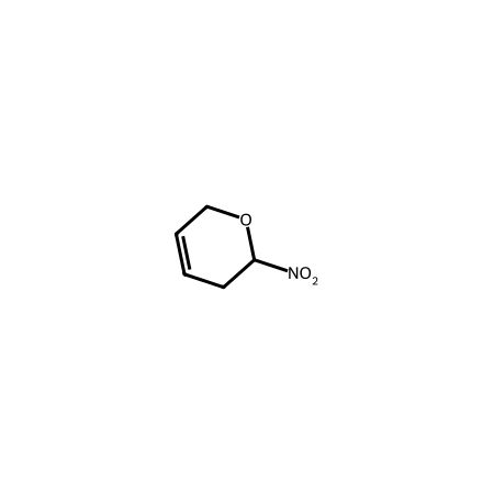 O=[N+]([O-])C1CC=CCO1